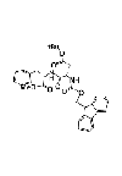 COC(=O)[C@H](Cc1ccccc1)NC(=O)[C@H](CC(=O)OC(C)(C)C)NC(=O)OCC1c2ccccc2-c2ccccc21